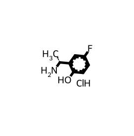 C[C@@H](N)c1cc(F)ccc1O.Cl